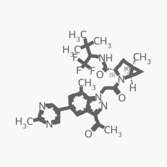 CC(=O)c1nn(CC(=O)N2[C@H](C(=O)NC(C(C)(C)C)C(F)(F)F)C[C@@]3(C)C[C@@H]23)c2c(C)cc(-c3cnc(C)nc3)cc12